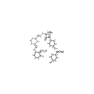 CCC(C)CN(CCOC1CCCC(OCc2cccc(C)c2C(=O)O)C1)C(=O)Nc1ccc(F)cc1.O=C=Nc1ccc(F)cc1